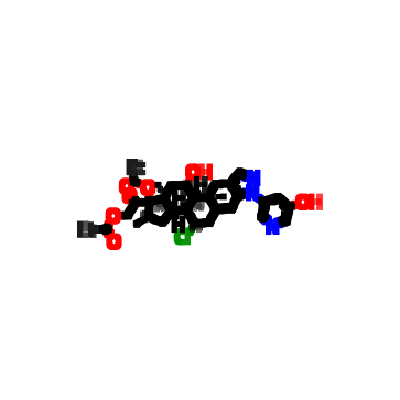 CCC(=O)OCC(=O)C1(OC(=O)CC)[C@H](C)C[C@H]2[C@H]3[C@H]([C@@H](O)C[C@@]21C)[C@@]1(C)Cc2cnn(-c4cncc(O)c4)c2C=C1C[C@H]3Cl